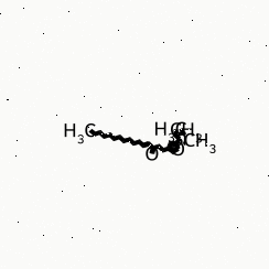 CCCCCCCCCCCC=CC(=O)CCc1coc([Si](CC)(CC)CC)c1